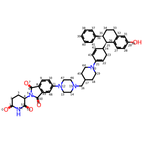 O=C1CCC(N2C(=O)c3ccc(N4CCN(CC5CCN(C6=CCC([C@@H]7c8ccc(O)cc8CC[C@@H]7c7ccccc7)C=C6)CC5)CC4)cc3C2=O)C(=O)N1